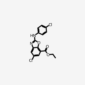 CCOC(=O)c1cc(Cl)cc2nc(Nc3ccc(Cl)cc3)oc12